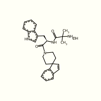 CC(C)(N)C(=O)N[C@H](Cc1c[nH]c2ccccc12)C(=O)N1CCC2(C=Cc3ccccc32)CC1.Cl